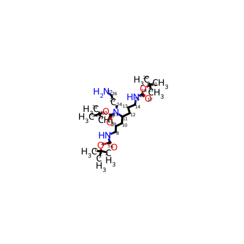 CC(C)(C)OC(=O)NCCCC(CCCNC(=O)OC(C)(C)C)N(CCCN)C(=O)OC(C)(C)C